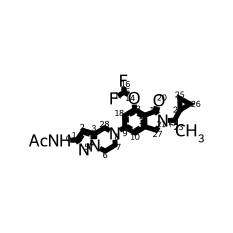 CC(=O)Nc1cc2n(n1)CCN(c1cc3c(c(OC(F)F)c1)C(=O)N([C@@H](C)C1CC1)C3)C2